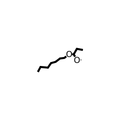 CCCCCCCOC([O])CC